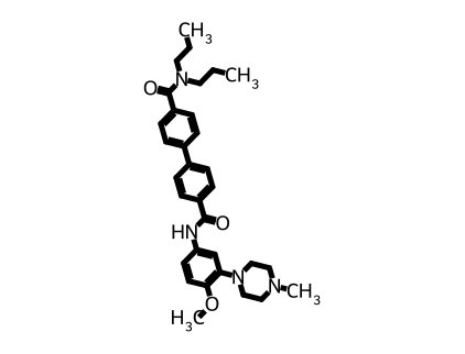 CCCN(CCC)C(=O)c1ccc(-c2ccc(C(=O)Nc3ccc(OC)c(N4CCN(C)CC4)c3)cc2)cc1